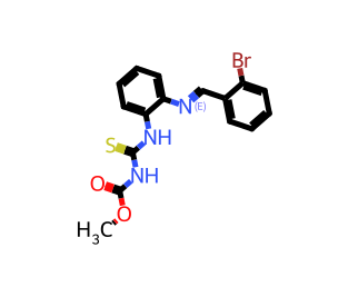 COC(=O)NC(=S)Nc1ccccc1/N=C/c1ccccc1Br